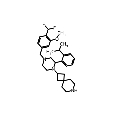 COc1cc(CN2CCN(C3CC4(CCNCC4)C3)C(c3ccccc3C(C)C)C2)ccc1C(F)F